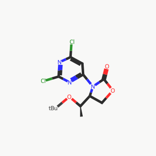 C[C@@H](OC(C)(C)C)C1COC(=O)N1c1cc(Cl)nc(Cl)n1